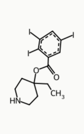 CCC1(OC(=O)c2cc(I)cc(I)c2I)CCNCC1